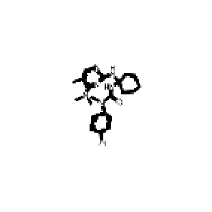 Cc1cnc(NC2(NC(=O)N(C)c3ccc(Cl)cc3)CCCCC2)nc1N(C)C